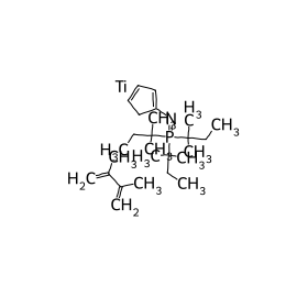 C=C(C)C(=C)C.CCC(C)(C)P(=NC1=CC=CC1)(C(C)(C)CC)C(C)(C)CC.[Ti]